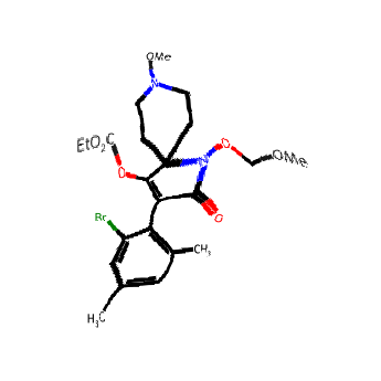 CCOC(=O)OC1=C(c2c(C)cc(C)cc2Br)C(=O)N(OCOC)C12CCN(OC)CC2